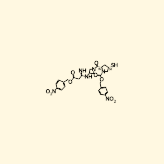 N=C(CC(=O)OCc1ccc([N+](=O)[O-])cc1)NC1CN(C(=O)[C@@H]2C[C@H](S)CN2C(=O)OCc2ccc([N+](=O)[O-])cc2)C1